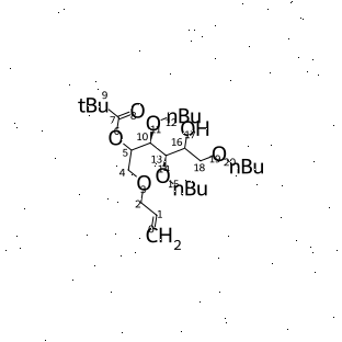 C=CCOCC(OC(=O)C(C)(C)C)[C@@H](OCCCC)[C@H](OCCCC)C(O)COCCCC